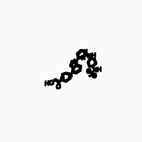 CS(=O)(=O)NC1CCC(Nc2nccc(-n3ccc4c(N5CCN(C(=O)CO)CC5)cccc43)n2)CC1